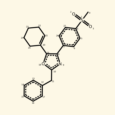 CS(=O)(=O)c1ccc(-c2nc(Cc3ccccc3)oc2C2=CCCCC2)cc1